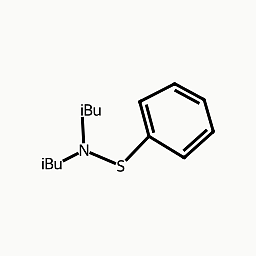 CCC(C)N(Sc1ccccc1)C(C)CC